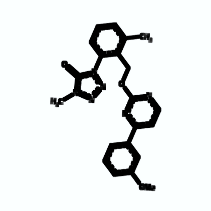 COc1cccc(-c2ccnc(OCc3c(C)cccc3-n3nnn(C)c3=O)n2)c1